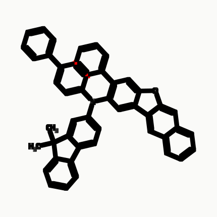 CC1(C)c2ccccc2-c2ccc(N(c3ccc(-c4ccccc4)cc3)c3cc4c(cc3-c3ccccc3)oc3cc5ccccc5cc34)cc21